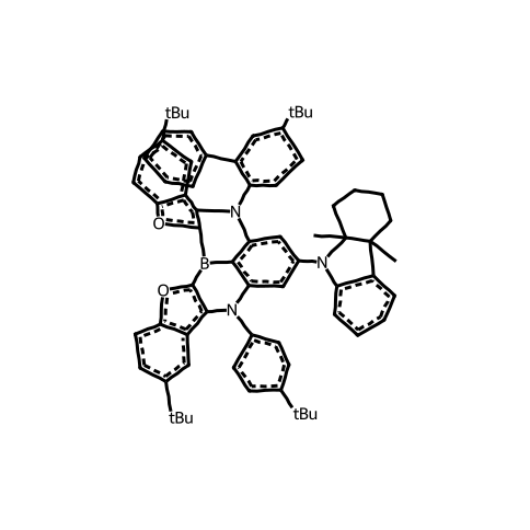 CC(C)(C)c1ccc(N2c3cc(N4c5ccccc5C5(C)CCCCC45C)cc4c3B(c3oc5ccc(C(C)(C)C)cc5c32)c2oc3ccc(C(C)(C)C)cc3c2N4c2ccc(C(C)(C)C)cc2-c2ccccc2)cc1